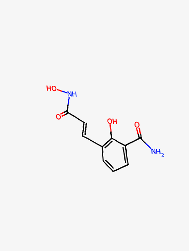 NC(=O)c1cccc(C=CC(=O)NO)c1O